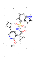 CC(C)Oc1ncc(C2CCC2)cc1C1(C(=O)NS(=O)(=O)c2cccc3[nH]ccc23)CC1